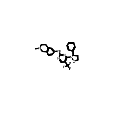 CN1CCc2cc(Nc3ncc(C(F)(F)F)c(N4OCCC4c4ccccc4)n3)ccc2C1